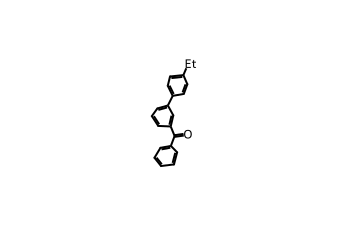 CCc1ccc(-c2cccc(C(=O)c3ccccc3)c2)cc1